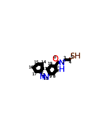 O=C(NCCS)c1ccc(/N=N\c2ccccc2)cc1